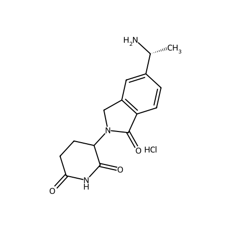 C[C@@H](N)c1ccc2c(c1)CN(C1CCC(=O)NC1=O)C2=O.Cl